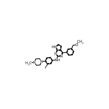 COCc1cccc(-c2nc(Nc3ccc(N4CCN(C)CC4)c(F)c3)nc3[nH]ccc23)c1